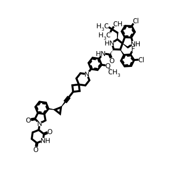 COc1cc(N2CCC3(CC2)CC(C#C[C@H]2C[C@H]2c2cccc4c2CN(C2CCC(=O)NC2=O)C4=O)C3)ccc1NC(=O)[C@@H]1N[C@@H](CC(C)(C)C)[C@@]2(CNc3cc(Cl)ccc32)[C@H]1c1cccc(Cl)c1F